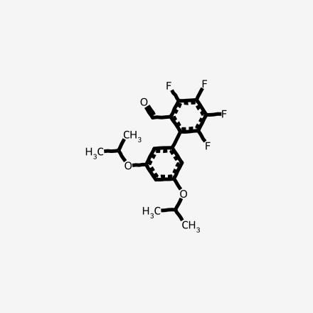 CC(C)Oc1cc(OC(C)C)cc(-c2c(F)c(F)c(F)c(F)c2C=O)c1